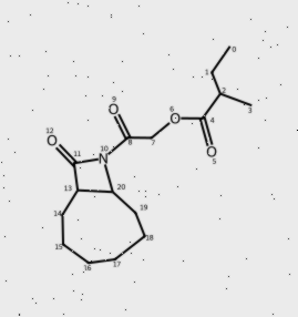 CCC(C)C(=O)OCC(=O)N1C(=O)C2CCCCCCC21